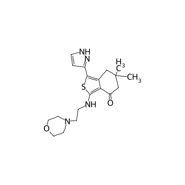 CC1(C)CC(=O)c2c(NCCN3CCOCC3)sc(-c3cc[nH]n3)c2C1